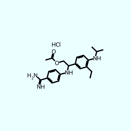 CCc1cc(C(COC(C)=O)Nc2ccc(C(=N)N)cc2)ccc1NC(C)C.Cl